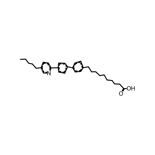 CCCCCc1ccc(-c2ccc(-c3ccc(CCCCCCCCCC(=O)O)cc3)cc2)nc1